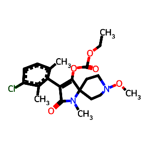 CCOC(=O)OC1=C(c2c(C)ccc(Cl)c2C)C(=O)N(C)C12CCN(OC)CC2